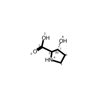 O=C(O)C1NCC[C@H]1O